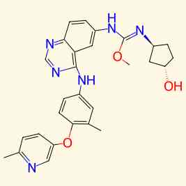 CO/C(=N\[C@H]1CC[C@H](O)C1)Nc1ccc2ncnc(Nc3ccc(Oc4ccc(C)nc4)c(C)c3)c2c1